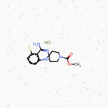 COC(=O)N1CCC2(CC1)N=C(N)c1c(F)cccc1N2.Cl